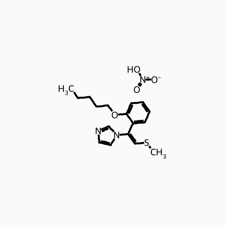 CCCCCOc1ccccc1/C(=C\SC)n1ccnc1.O=[N+]([O-])O